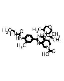 CCNC(=O)Nc1ccc(-c2nc3c(c(N4CCOCC4C)n2)[C@H](C(C)(C)C)CN(C(=O)O)C3)cc1C